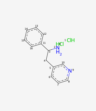 Cl.Cl.NC(Cc1cccnc1)c1ccccc1